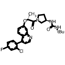 C[C@@H](Oc1ccc2c(-c3ccc(F)cc3Cl)ccnc2c1)C(=O)N1CC[C@@H](NC(=O)NC(C)(C)C)C1